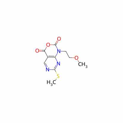 COCCn1c(=O)oc(=O)c2cnc(SC)nc21